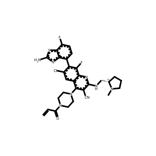 C=CC(=O)N1CCN(c2c(C#N)c(NC[C@@H]3CCCN3C)nc3c(F)c(-c4ccc(F)c5sc(N)nc45)c(Cl)cc23)CC1